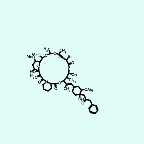 CCC1/C=C(\C)CC(C)CC(OC)C2OC(O)(C(=O)C(=O)N3CCCCC3C(=O)OC(C(C)=CC3CCC(O)(CC(=O)Cc4ccccc4)C(OC)C3)C(C)C(O)CC1=O)C(C)CC2OC